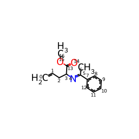 C=CCC(N=C(C)c1ccccc1)C(=O)OC